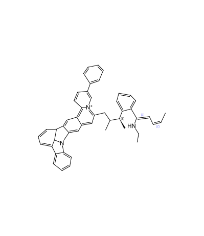 C/C=C\C=C(/NCC)c1ccccc1[C@@H](C)C(C)Cc1cc2cc3c(cc2c2ccc(-c4ccccc4)c[n+]12)C1C=CC=C2c4ccccc4N3C21